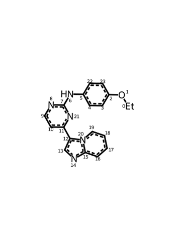 CCOc1ccc(Nc2nccc(-c3cnc4ccccn34)n2)cc1